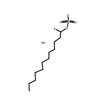 CCCCCCCCCCCC(F)OS(=O)(=O)[O-].[Na+]